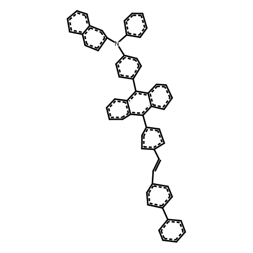 C(=C\c1ccc(-c2c3ccccc3c(-c3ccc(N(c4ccccc4)c4ccc5ccccc5c4)cc3)c3ccccc23)cc1)/c1ccc(-c2ccccc2)cc1